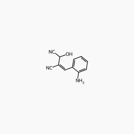 N#C/C(=C/c1ccccc1N)C(O)C#N